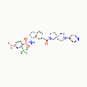 COc1ccc(S(=O)(=O)N[C@@H]2CCc3ccc(C(=O)N4CCC5(CCN(c6ccncc6)CC5)C4)cc32)c(C(F)(F)F)c1